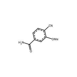 COc1cc(C(N)=O)ccc1C#N